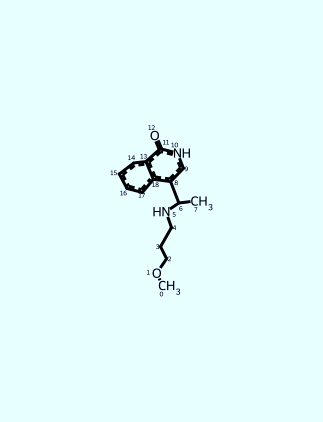 COCCCNC(C)c1c[nH]c(=O)c2ccccc12